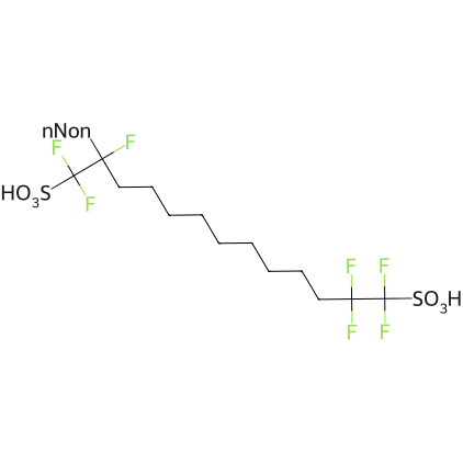 CCCCCCCCCC(F)(CCCCCCCCCC(F)(F)C(F)(F)S(=O)(=O)O)C(F)(F)S(=O)(=O)O